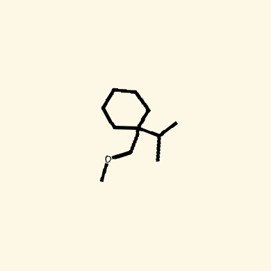 COCC1(C(C)C)CCCCC1